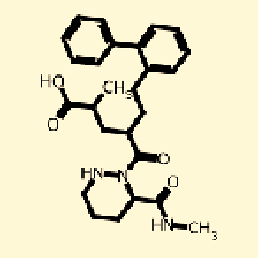 CNC(=O)C1CCCNN1C(=O)C(CCc1ccccc1-c1ccccc1)CC(C)C(=O)O